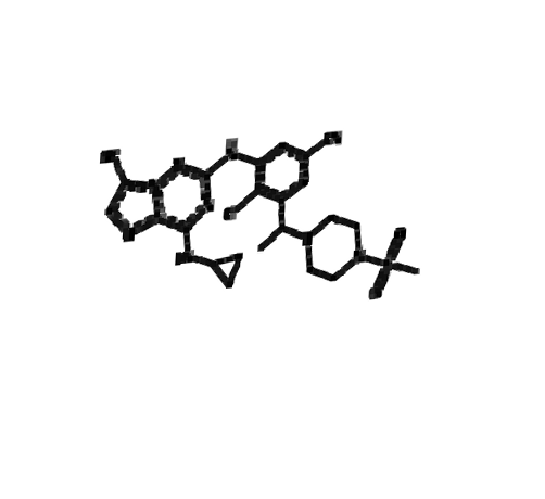 CC(c1cc(C#N)cc(Nc2nc(NC3CC3)c3ncc(C#N)n3n2)c1Cl)N1CCN(S(C)(=O)=O)CC1